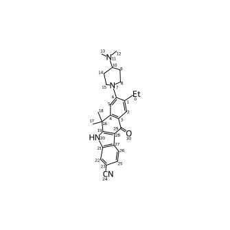 CCc1cc2c(cc1N1CCC(N(C)C)CC1)C(C)(C)c1[nH]c3cc(C#N)ccc3c1C2=O